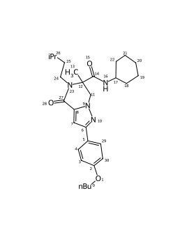 CCCCOc1ccc(-c2cc3n(n2)CC(C)(C(=O)NC2CCCCC2)N(CCC(C)C)C3=O)cc1